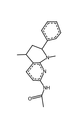 CC(=O)Nc1ccc2c(n1)N(C)C(c1ccccc1)CC2C